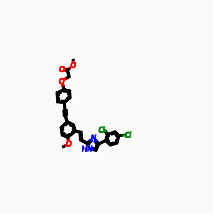 COC(=O)COc1ccc(C#Cc2ccc(OC)c(/C=C/c3nc(-c4ccc(Cl)cc4Cl)c[nH]3)c2)cc1